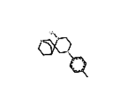 CN1CCN(c2ccc(I)cc2)CC12CN1CCC2CC1